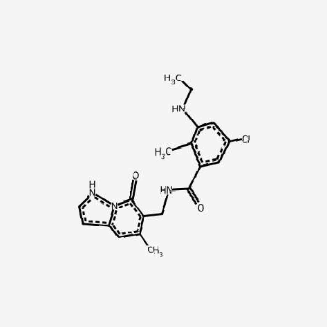 CCNc1cc(Cl)cc(C(=O)NCc2c(C)cc3cc[nH]n3c2=O)c1C